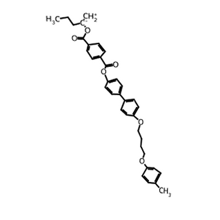 [CH2+][C-](CCC)OC(=O)c1ccc(C(=O)Oc2ccc(-c3ccc(OCCCCOc4ccc(C)cc4)cc3)cc2)cc1